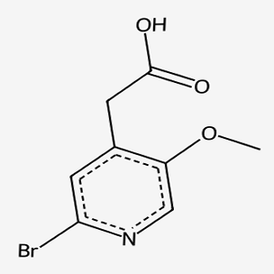 COc1cnc(Br)cc1CC(=O)O